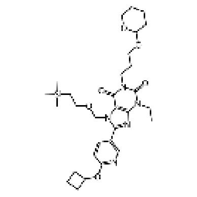 CCn1c(=O)n(CCCOC2CCCCO2)c(=O)c2c1nc(-c1ccc(OC3CCC3)nc1)n2COCC[Si](C)(C)C